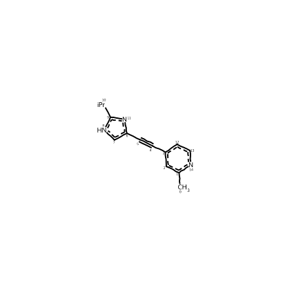 Cc1cc(C#Cc2c[nH]c(C(C)C)n2)ccn1